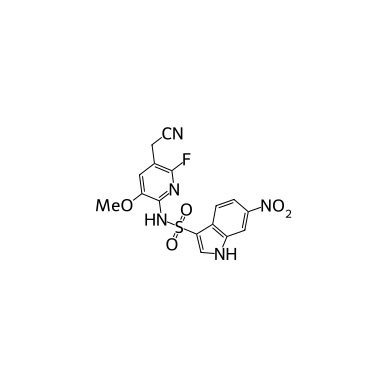 COc1cc(CC#N)c(F)nc1NS(=O)(=O)c1c[nH]c2cc([N+](=O)[O-])ccc12